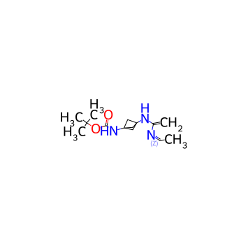 C=C(/N=C\C)NC12CC(NC(=O)OC(C)(C)C)(C1)C2